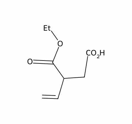 C=CC(CC(=O)O)C(=O)OCC